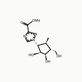 COC(=O)c1ncn([C@@H]2[C@@H](C)[C@H](CO)[C@@H](O)[C@H]2O)n1